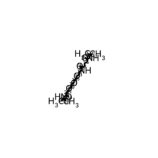 CC(C)NC(=O)CCCC(=O)NCCOCCOCCOCCC(=O)NC(C)C